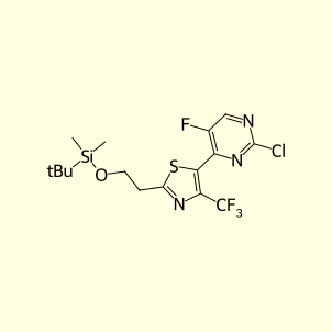 CC(C)(C)[Si](C)(C)OCCc1nc(C(F)(F)F)c(-c2nc(Cl)ncc2F)s1